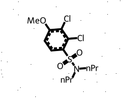 CCCN(CCC)S(=O)(=O)c1ccc(OC)c(Cl)c1Cl